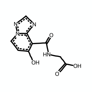 O=C(O)CNC(=O)c1c(O)ccn2ncnc12